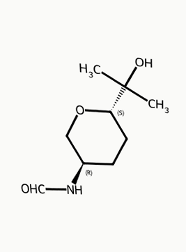 CC(C)(O)[C@@H]1CC[C@@H](NC=O)CO1